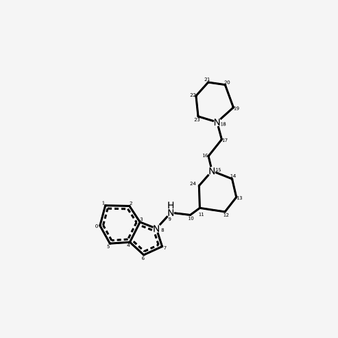 c1ccc2c(c1)ccn2NCC1CCCN(CCN2CCCCC2)C1